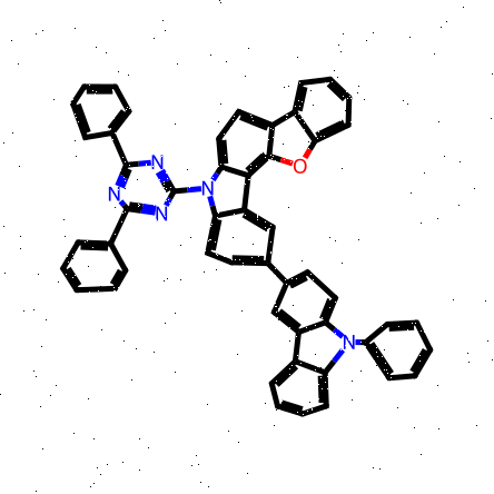 c1ccc(-c2nc(-c3ccccc3)nc(-n3c4ccc(-c5ccc6c(c5)c5ccccc5n6-c5ccccc5)cc4c4c5oc6ccccc6c5ccc43)n2)cc1